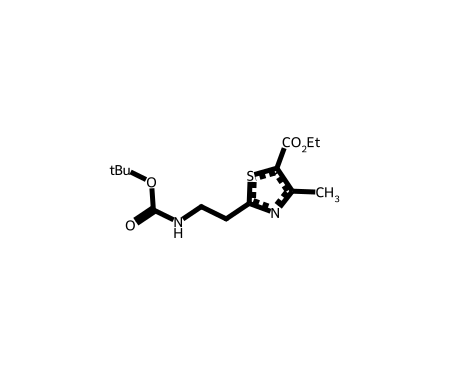 CCOC(=O)c1sc(CCNC(=O)OC(C)(C)C)nc1C